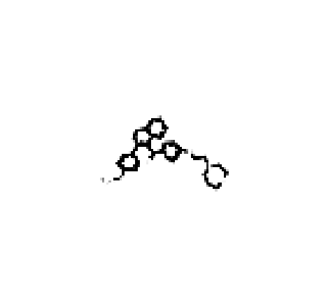 COc1ccc(C2=C(C(=O)c3ccc(OCCN4CCCCCC4)cc3)c3ccccc3CC2)cc1